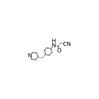 N#CCC(=O)Nc1ccc(Cc2ccncc2)cc1